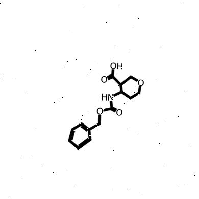 O=C(NC1CCOCC1C(=O)O)OCc1ccccc1